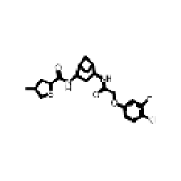 CC1CSC(C(=O)NC2CC(NC(=O)COc3ccc(Cl)c(F)c3)C3CC2C3)C1